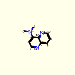 CN(C)c1ccnc2cccnc12